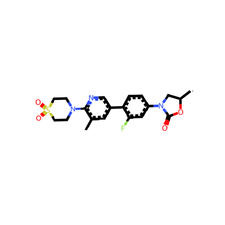 [CH2]C1CN(c2ccc(-c3cnc(N4CCS(=O)(=O)CC4)c(C)c3)c(F)c2)C(=O)O1